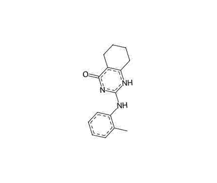 Cc1ccccc1Nc1nc(=O)c2c([nH]1)CCCC2